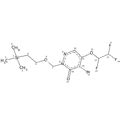 C[Si](C)(C)CCOCn1ncc(OC(F)C(F)F)c(Br)c1=O